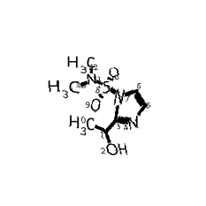 CC(O)c1nccn1S(=O)(=O)N(C)C